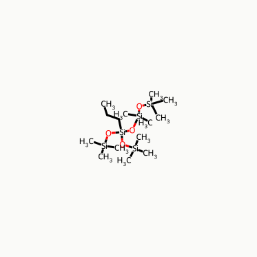 CC[CH][Si](O[Si](C)(C)C)(O[Si](C)(C)C)O[Si](C)(C)O[Si](C)(C)C